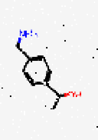 [CH2]C(O)c1ccc(CN)cc1